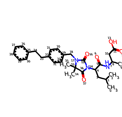 CC(C)CC(C(=O)NC(C)CC(=O)O)N1C(=O)N(Cc2ccc(CCc3ccccc3)cc2)C(C)(C)C1=O